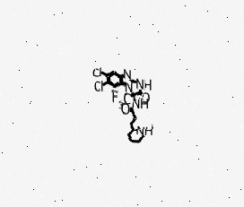 O=C(CCC1CCCCN1)NC1(C(F)(F)F)C(=O)Nc2nc3cc(Cl)c(Cl)cc3n21